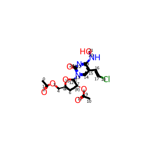 CC(=O)OC[C@@H]1C[C@@H](OC(C)=O)[C@H](n2cc(C=CCl)c(NO)nc2=O)O1